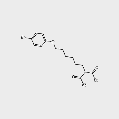 CCC(=O)C(CCCCCCOc1ccc(CC)cc1)C(=O)CC